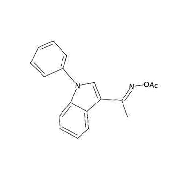 CC(=O)O/N=C(\C)c1cn(-c2ccccc2)c2ccccc12